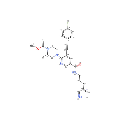 C=C(OC(C)(C)C)N1CCN(c2ncc(C(=O)NCCC/C(C=N)=C/C)cc2C#Cc2ccc(F)cc2)CC1C